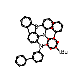 CC(C)(C)c1ccc(N2c3ccccc3B3c4ccccc4-c4ccc(N(c5ccccc5)c5cccc(-c6ccccc6)c5)c2c43)c(-c2ccccc2)c1